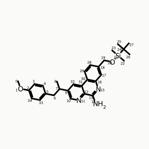 COc1ccc(CC(C)c2cnc3c(N)nc4cc(CO[Si](C)(C)C(C)(C)C)ccc4c3c2)cc1